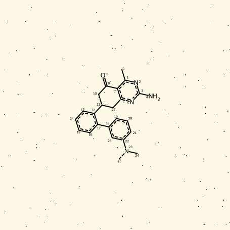 Cc1nc(N)nc2c1C(=O)CC(c1ccccc1-c1cccc(N(C)C)c1)C2